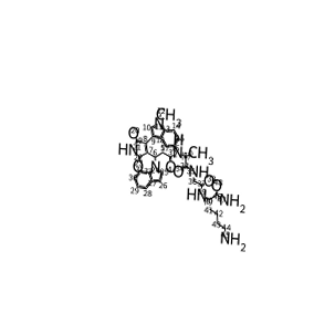 C[C@H](NC(=O)CC(C1=C(c2cn(C)c3ccccc23)C(=O)NC1=O)n1ccc2ccccc21)C(=O)NCC(=O)N[C@@H](CCCCN)C(N)=O